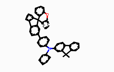 CC1(C)c2ccccc2-c2ccc(N(c3ccccc3)c3ccc(-c4ccc5c(c4)C4(c6ccccc6Oc6ccccc64)c4ccccc4-5)cc3)cc21